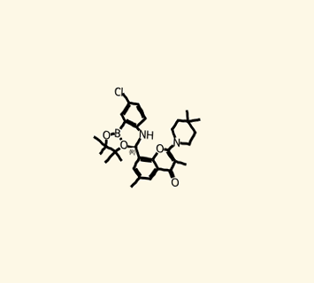 Cc1cc([C@@H](C)Nc2ccc(Cl)cc2B2OC(C)(C)C(C)(C)O2)c2oc(N3CCC(C)(C)CC3)c(C)c(=O)c2c1